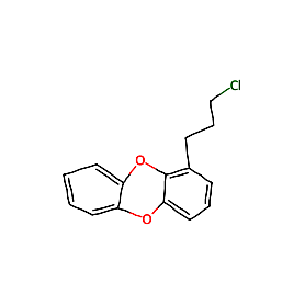 ClCCCc1cccc2c1Oc1ccccc1O2